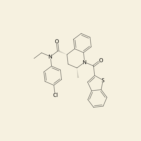 CCN(C(=O)[C@H]1C[C@@H](C)N(C(=O)c2cc3ccccc3s2)c2ccccc21)c1ccc(Cl)cc1